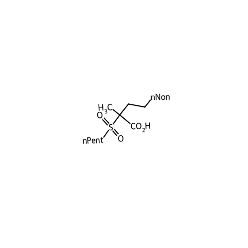 CCCCCCCCCCCC(C)(C(=O)O)S(=O)(=O)CCCCC